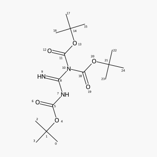 CC(C)(C)OC(=O)NC(=N)N(C(=O)OC(C)(C)C)C(=O)OC(C)(C)C